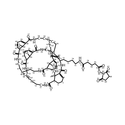 C[C@@]1(O)C2=CCCC1C(=O)NCCN1CCNC(=O)C3CCC=C(C(=O)NCCN(CCN4CCNC(=O)C5=CCCC(C(=O)NCCN(CCNC(=O)C6CCC=C(C(=O)NCC4)C6O)CC1)C5O)CC(CCCCNC(=O)CCCC(=O)ON1C(=O)CCC1=O)NC2=O)C3O